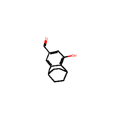 O=Cc1cc(O)c2c(c1)C1CCC2CC1